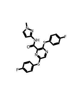 Cn1ccc(NC(=O)c2nc(Sc3ccc(F)cc3)cnc2Sc2ccc(F)cc2)n1